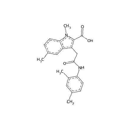 Cc1ccc(NC(=O)Cc2c(C(=O)O)n(C)c3ccc(C)cc23)c(C)c1